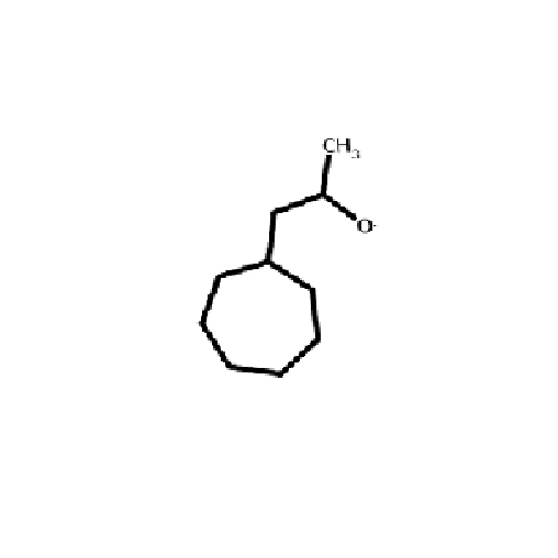 CC([O])CC1CCCCCC1